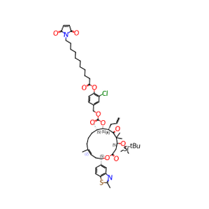 C=CC[C@H]1C(=O)C(C)(C)[C@@H](O[Si](C)(C)C(C)(C)C)CC(=O)O[C@H](c2ccc3sc(C)nc3c2)C/C=C(/C)CCC[C@H](C)[C@@H]1OC(=O)OCc1ccc(OC(=O)CCCCCCCCCCN2C(=O)C=CC2=O)c(Cl)c1